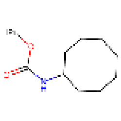 CC(C)OC(=O)NC1CCCCCCC1